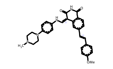 COc1ccc(/C=C/c2ccc3c(c2)/C(=C/Nc2ccc(N4CCN(C)CC4)cc2)C(=O)NC3=O)cc1